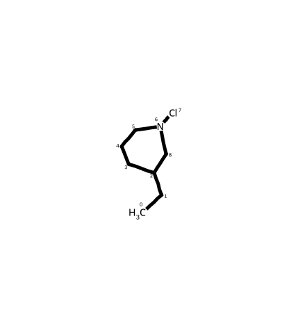 CCC1CCCN(Cl)C1